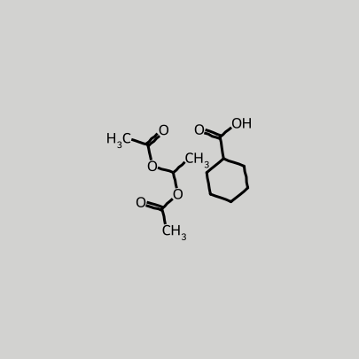 CC(=O)OC(C)OC(C)=O.O=C(O)C1CCCCC1